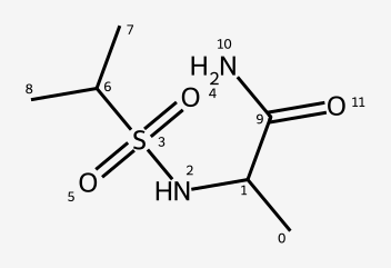 CC(NS(=O)(=O)C(C)C)C(N)=O